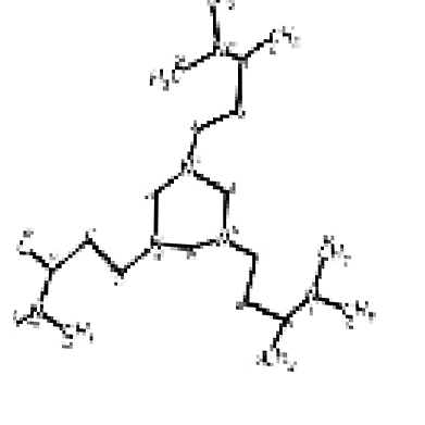 CC(CCN1CN(CCC(C)N(C)C)CN(CCC(C)N(C)C)C1)N(C)C